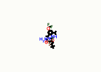 CC(C)c1cc(OC(F)F)cc(C(C)C)c1NC(=O)N=S(N)(=O)c1sc(C(C)(C)C)cc1F